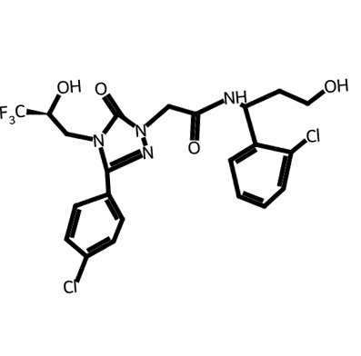 O=C(Cn1nc(-c2ccc(Cl)cc2)n(C[C@H](O)C(F)(F)F)c1=O)NC(CCO)c1ccccc1Cl